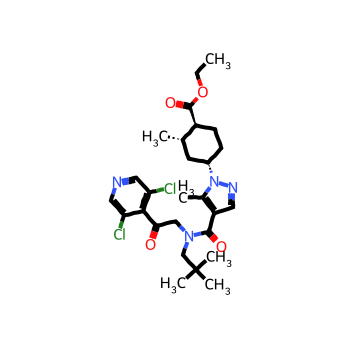 CCOC(=O)[C@H]1CC[C@H](n2ncc(C(=O)N(CC(=O)c3c(Cl)cncc3Cl)CC(C)(C)C)c2C)C[C@@H]1C